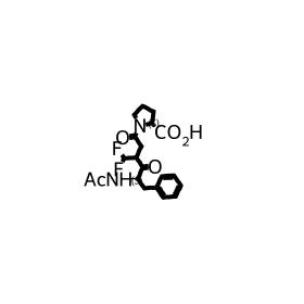 CC(=O)N[C@@H](Cc1ccccc1)C(=O)C(CC(=O)N1CCC[C@H]1C(=O)O)C(F)F